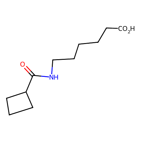 O=C(O)CCCCCNC(=O)C1CCC1